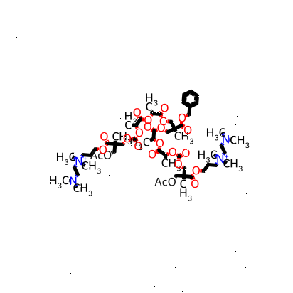 CC(=O)OCC(C)(COC(=O)OC(C)C(=O)OC(C)C(=O)OCC(C)(COC(=O)C(C)OC(=O)C(C)OC(=O)OCC(C)(COC(C)=O)C(=O)OCCC[N+](C)(C)CCN(C)C)C(=O)OCc1ccccc1)C(=O)OCCC[N+](C)(C)CCN(C)C